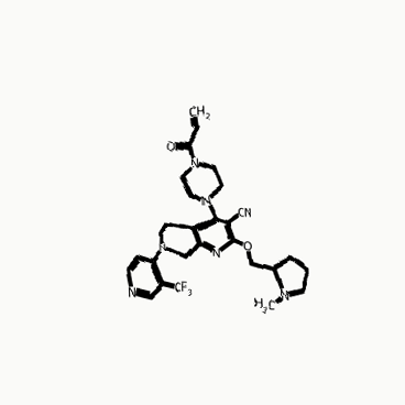 C=CC(=O)N1CCN(c2c(C#N)c(OCC3CCCN3C)nc3c2CCN(c2ccncc2C(F)(F)F)C3)CC1